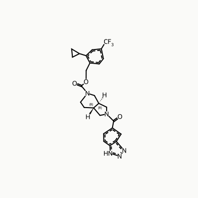 O=C(OCc1ccc(C(F)(F)F)cc1C1CC1)N1CC[C@H]2CN(C(=O)c3ccc4[nH]nnc4c3)C[C@@H]2C1